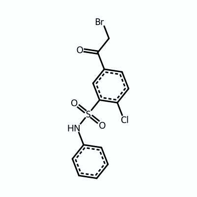 O=C(CBr)c1ccc(Cl)c(S(=O)(=O)Nc2ccccc2)c1